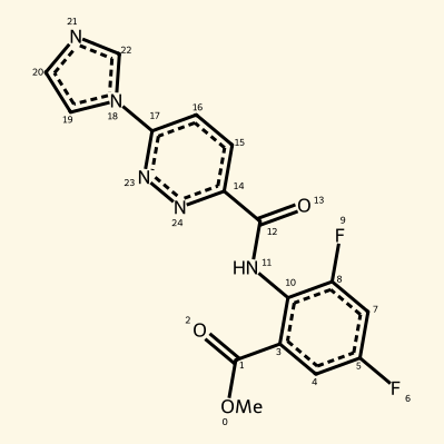 COC(=O)c1cc(F)cc(F)c1NC(=O)c1ccc(-n2ccnc2)nn1